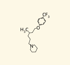 CC(CCCN1CCCCC1)CCOc1ccc(C(F)(F)F)cc1